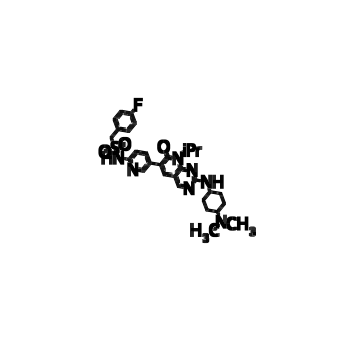 CC(C)n1c(=O)c(-c2ccc(NS(=O)(=O)Cc3ccc(F)cc3)nc2)cc2cnc(NC3CCC(N(C)C)CC3)nc21